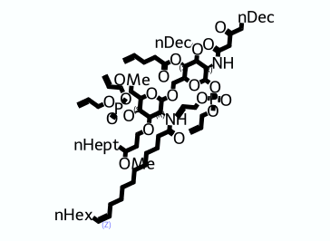 C=CCCC(=O)O[C@@H]1C(COC2OC(COC)[C@@H](OP(=O)(OCC=C)OCC=C)C(OCCC(CCCCCCC)OC)[C@H]2NC(=O)CCCCCCCCC/C=C\CCCCCC)OC(OP(=O)(OCC=C)OCC=C)[C@H](NC(=O)CC(=O)CCCCCCCCCCC)C1OCCCCCCCCCC